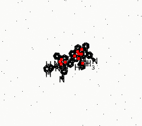 CC1(c2nc(-c3cc(C#N)ccc3-n3c4ccccc4c4ccc(-c5ccc6c(c5)oc5c6ccc6c5c5ccccc5n6-c5ccc(C#N)cc5-c5nc(-n6c7ccccc7c7ccccc76)nc(C67CC8[C@H](CCC[C@@H]8C6)C7)n5)cc43)nc(-n3c4ccccc4c4ccccc43)n2)C[C@H]2CC[C@@H](C2)C1